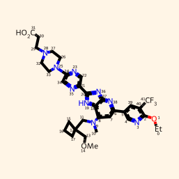 CCOc1ncc(-c2cc(N(C)CC3(COC)CCC3)c3[nH]c(-c4cnc(N5CCN(CCC(=O)O)CC5)cn4)nc3n2)cc1C(F)(F)F